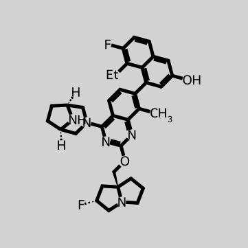 CCc1c(F)ccc2cc(O)cc(-c3ccc4c(N5C[C@H]6CC[C@@H](C5)N6)nc(OC[C@@]56CCCN5C[C@H](F)C6)nc4c3C)c12